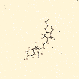 COc1ccc2c(c1)C(C)(C)/C(=C\C=C\C1=[N+](C)c3ccc(Cl)cc3C1(C)C)N2C